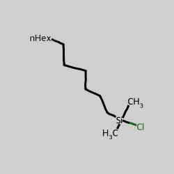 CCCCCCCCCCCC[Si](C)(C)Cl